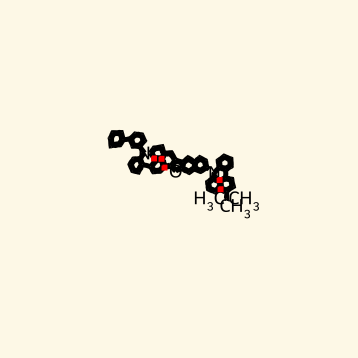 CC(C)(C)c1ccc(-c2ccccc2N(c2ccccc2)c2ccc3cc4c(cc3c2)oc2cc3cc(N(c5cccc(-c6ccccc6)c5)c5ccccc5-c5ccccc5)ccc3cc24)cc1